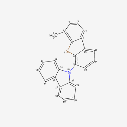 Cc1cccc2c1sc1c(-n3c4ccccc4c4ccccc43)cccc12